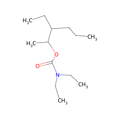 CCCC(CC)C(C)OC(=O)N(CC)CC